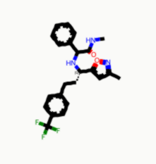 CNC(=O)C(N[C@@H](CCc1ccc(C(F)(F)F)cc1)c1cc(C)no1)c1ccccc1